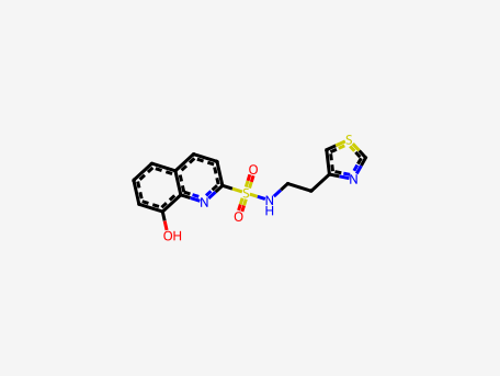 O=S(=O)(NCCc1cscn1)c1ccc2cccc(O)c2n1